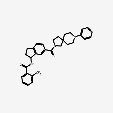 O=C(NC1CCc2ccc(C(=O)N3CCC4(CCN(c5ccncc5)CC4)C3)cc21)c1ccccc1C(F)(F)F